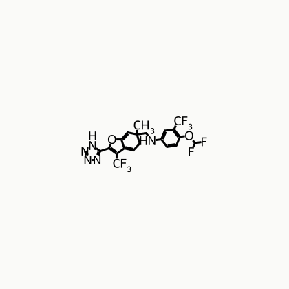 CC1(CNc2ccc(OC(F)F)c(C(F)(F)F)c2)C=c2oc(-c3nnn[nH]3)c(C(F)(F)F)c2=CC1